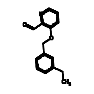 CCc1cccc(COc2cccnc2C=O)c1